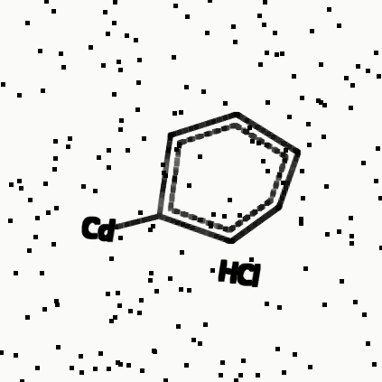 Cl.[Cd][c]1ccccc1